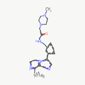 CNc1nccn2c(-c3cccc(NC(=O)CN4CCN(C)CC4)c3)cnc12